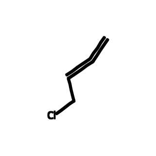 C=C=CCCl